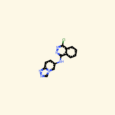 Clc1nnc(Nc2ccc3nncn3c2)c2ccccc12